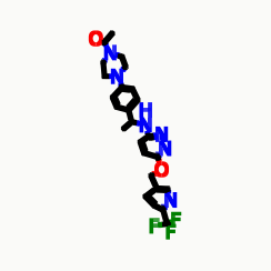 CC(=O)N1CCN(c2ccc(C(C)Nc3ccc(OCc4ccc(C(F)(F)F)nc4)nn3)cc2)CC1